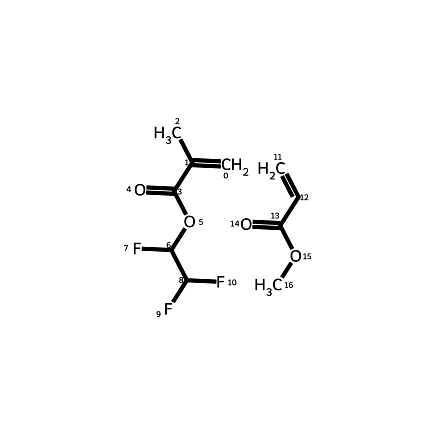 C=C(C)C(=O)OC(F)C(F)F.C=CC(=O)OC